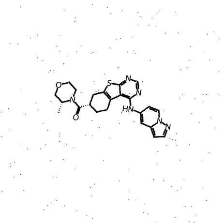 C[C@@H]1COCCN1C(=O)[C@H]1CCc2c(sc3ncnc(Nc4ccn5nccc5c4)c23)C1